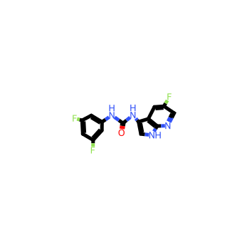 O=C(Nc1cc(F)cc(F)c1)Nc1c[nH]c2ncc(F)cc12